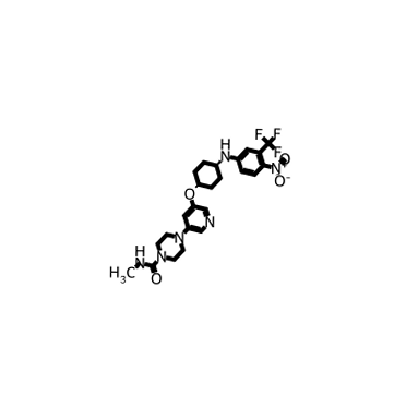 CNC(=O)N1CCN(c2cncc(O[C@H]3CC[C@H](Nc4ccc([N+](=O)[O-])c(C(F)(F)F)c4)CC3)c2)CC1